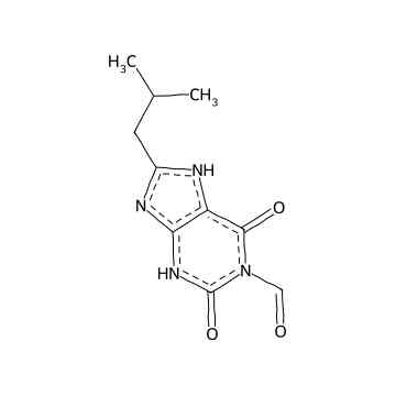 CC(C)Cc1nc2[nH]c(=O)n(C=O)c(=O)c2[nH]1